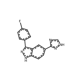 Fc1ccc(-c2n[nH]c3ccc(-c4n[c][nH]n4)cc23)cc1